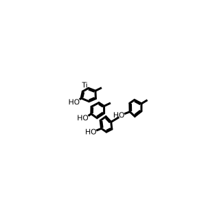 Cc1ccc(O)cc1.Cc1ccc(O)cc1.Cc1ccc(O)cc1.Cc1ccc(O)cc1.[Ti]